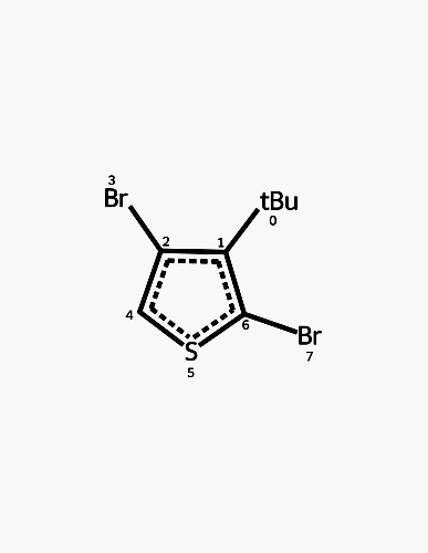 CC(C)(C)c1c(Br)csc1Br